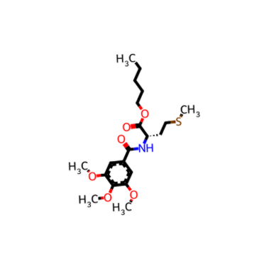 CCCCCOC(=O)[C@H](CCSC)NC(=O)c1cc(OC)c(OC)c(OC)c1